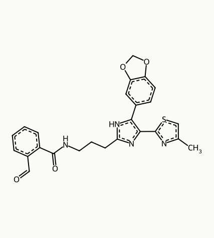 Cc1csc(-c2nc(CCCNC(=O)c3ccccc3C=O)[nH]c2-c2ccc3c(c2)OCO3)n1